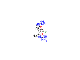 CC(=Cc1ccc(Br)cc1C=C(C)C(=O)NC(=N)N)C(=O)NC(=N)N